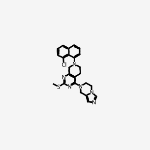 CSc1nc2c(c(N3CCn4cncc4C3)n1)CCN(c1cccc3cccc(Cl)c13)C2